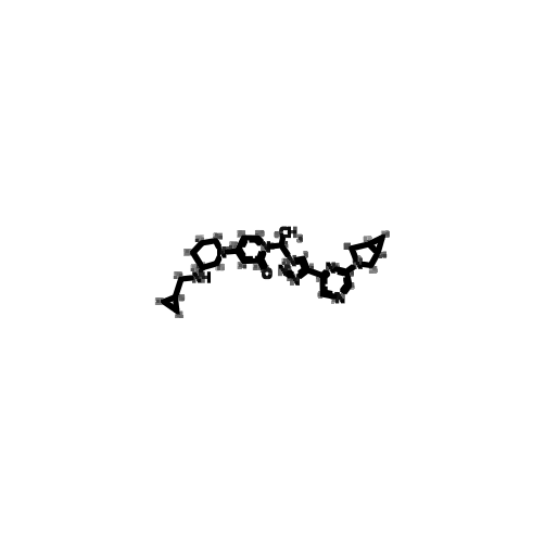 CC(n1cc(-c2cncc(N3CC4CC4C3)n2)nn1)n1ccc(N2CCC[C@@H](NCC3CC3)C2)cc1=O